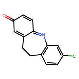 O=C1C=CC2=Nc3cc(Cl)ccc3CCC2=C1